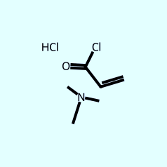 C=CC(=O)Cl.CN(C)C.Cl